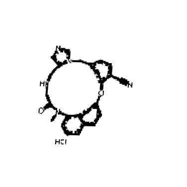 CN1C(=O)CNCc2cncn2Cc2ccc(C#N)c(c2)Oc2ccc3cccc1c3c2.Cl